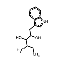 CCC(C)C(O)C(O)Cc1c[nH]c2ccccc12